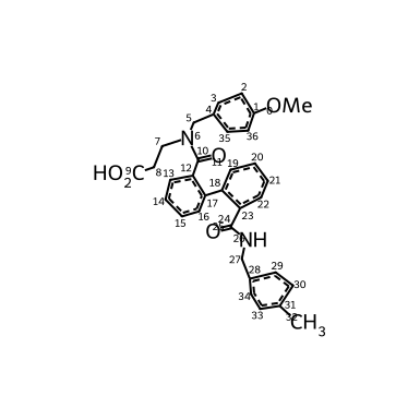 COc1ccc(CN(CCC(=O)O)C(=O)c2ccccc2-c2ccccc2C(=O)NCc2ccc(C)cc2)cc1